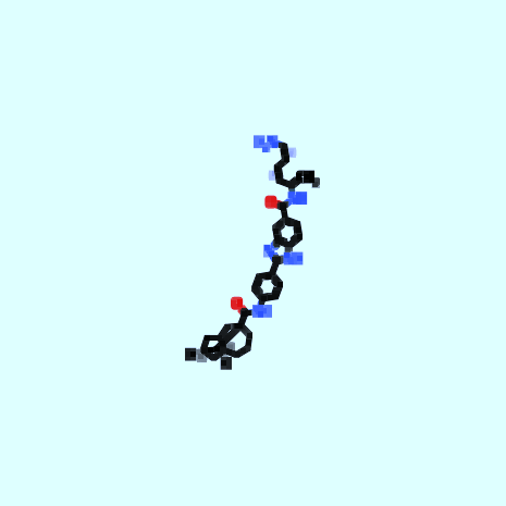 C=C(/C=C\C=C/N)NC(=O)c1ccc2[nH]c(-c3ccc(NC(=O)C45CCC[C@H]6C[C@@H](CC6C4)C5)cc3)nc2c1